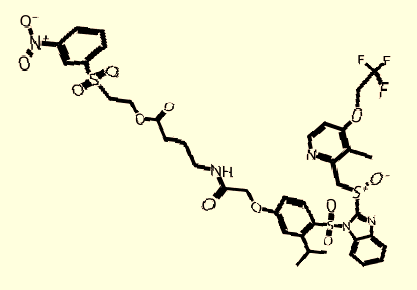 Cc1c(OCC(F)(F)F)ccnc1C[S+]([O-])c1nc2ccccc2n1S(=O)(=O)c1ccc(OCC(=O)NCCCC(=O)OCCS(=O)(=O)c2cccc([N+](=O)[O-])c2)cc1C(C)C